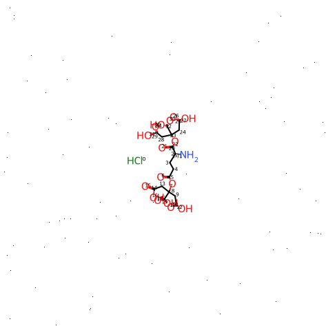 Cl.N[C@@H](CCC(=O)OC(CC(=O)O)(CC(=O)O)C(=O)O)C(=O)OC(CC(=O)O)(CC(=O)O)C(=O)O